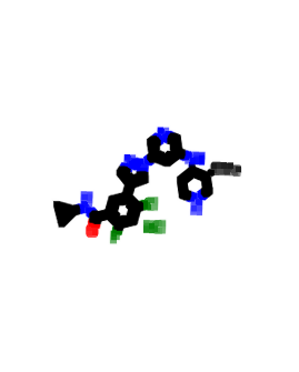 CO[C@@H]1CNCC[C@@H]1Nc1cncc(-n2cc(-c3cc(C(=O)NC4CC4)c(F)cc3Cl)cn2)c1.Cl